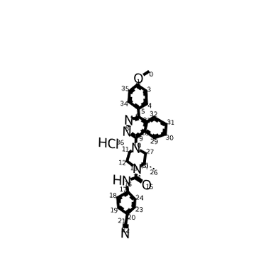 COc1ccc(-c2nnc(N3CCN(C(=O)Nc4ccc(C#N)cc4)[C@@H](C)C3)c3ccccc23)cc1.Cl